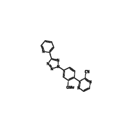 COc1cc(-n2nnc(-c3ccccn3)n2)ccc1-c1nccnc1C#N